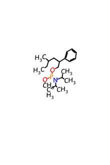 CCC(C)CC(COP(OC)N(C(C)C)C(C)C)c1ccccc1